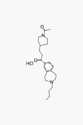 CCCCN1CCc2ccc(C(=O)CCC3CCN(C(C)=O)CC3)cc2CC1.Cl